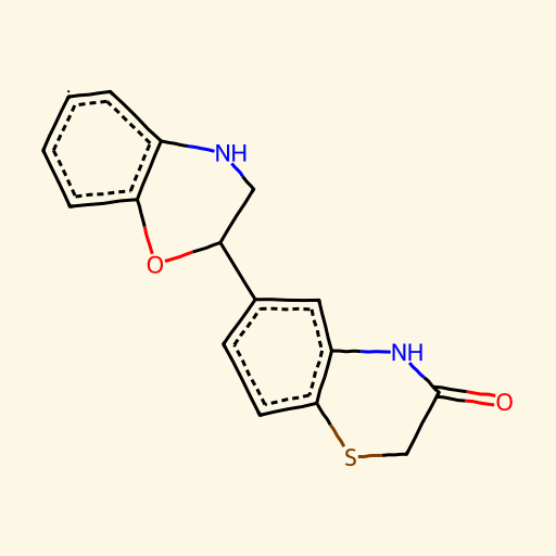 O=C1CSc2ccc(C3CNc4c[c]ccc4O3)cc2N1